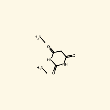 CN.CN.O=C1CC(=O)NC(=O)N1